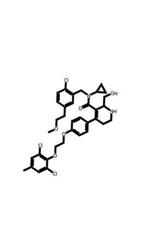 COCCc1ccc(Cl)c(CN(C(=O)C2=C(c3ccc(OCCOc4c(Cl)cc(C)cc4Cl)cc3)CCNC2CO)C2CC2)c1